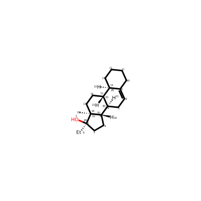 CC[C@@]1(O)CC[C@H]2[C@@H]3CC=C4CCCC[C@@H]4[C@H]3CC[C@@]21C